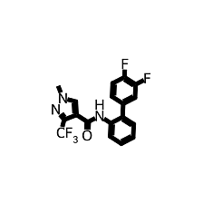 Cn1cc(C(=O)Nc2ccccc2-c2ccc(F)c(F)c2)c(C(F)(F)F)n1